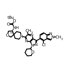 Cc1nc2c(-c3ccc4nn(C)cc4c3Cl)nn(C3CCCCO3)c2nc1N1CCC2(CC1)COC[C@H]2NC(=O)OC(C)(C)C